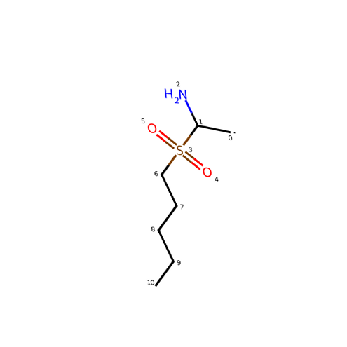 [CH2]C(N)S(=O)(=O)CCCCC